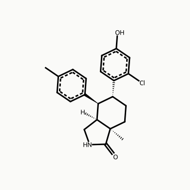 Cc1ccc([C@H]2[C@H](c3ccc(O)cc3Cl)CC[C@@]3(C)C(=O)NC[C@@H]23)cc1